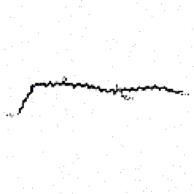 CCCCCCCC/C=C\CCCCCCCC(=O)CCCCCCCCCCCCCCC(=O)N[C@@H](CO)CCCCCCCCCCCCCCCC